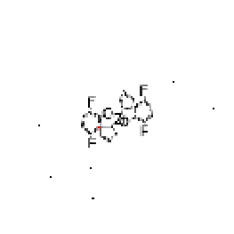 Fc1ccc(F)c([O][Zr]([O]c2cc(F)ccc2F)([C]2=CC=CC2)[C]2=CC=CC2)c1